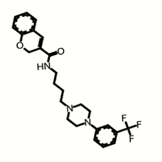 O=C(NCCCCN1CCN(c2cccc(C(F)(F)F)c2)CC1)C1=Cc2ccccc2OC1